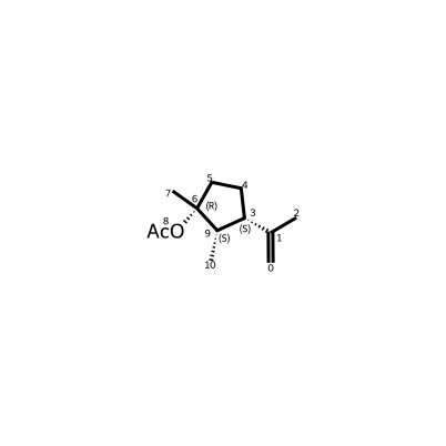 C=C(C)[C@H]1CC[C@@](C)(OC(C)=O)[C@H]1C